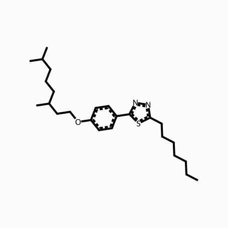 CCCCCCCc1nnc(-c2ccc(OCCC(C)CCCC(C)C)cc2)s1